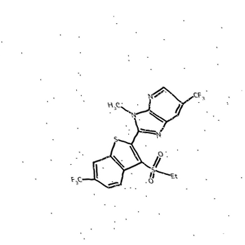 CCS(=O)(=O)c1c(-c2nc3cc(C(F)(F)F)cnc3n2C)sc2cc(C(F)(F)F)ccc12